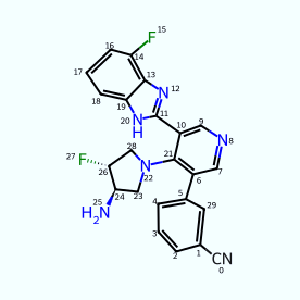 N#Cc1cccc(-c2cncc(-c3nc4c(F)cccc4[nH]3)c2N2C[C@@H](N)[C@H](F)C2)c1